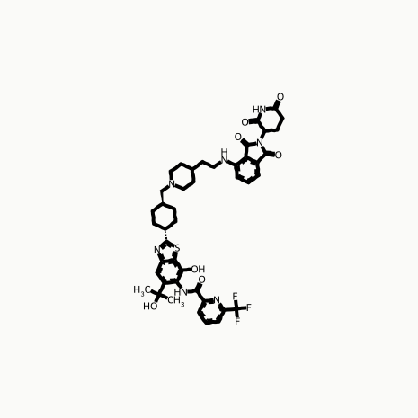 CC(C)(O)c1cc2nc([C@H]3CC[C@H](CN4CCC(CCNc5cccc6c5C(=O)N(C5CCC(=O)NC5=O)C6=O)CC4)CC3)sc2c(O)c1NC(=O)c1cccc(C(F)(F)F)n1